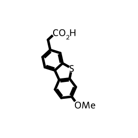 COc1ccc2c(c1)sc1cc(CC(=O)O)ccc12